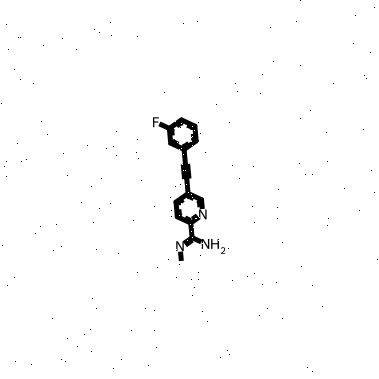 C/N=C(\N)c1ccc(C#Cc2cccc(F)c2)cn1